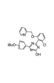 CC(C)COc1ccc(-c2nc(O)nc(-c3c(Cl)cccc3OCc3ccccn3)n2)cc1